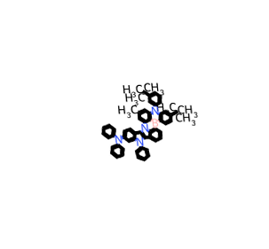 Cc1cc2c3c(c1)-n1c4c(cccc4c4c1c1ccc(N(c5ccccc5)c5ccccc5)cc1n4-c1ccccc1)B3c1ccc(C(C)(C)C)cc1N2c1cccc(C(C)(C)C)c1